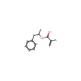 C=C(C)C(=O)OC(C)Cc1ccccc1